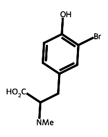 CNC(Cc1ccc(O)c(Br)c1)C(=O)O